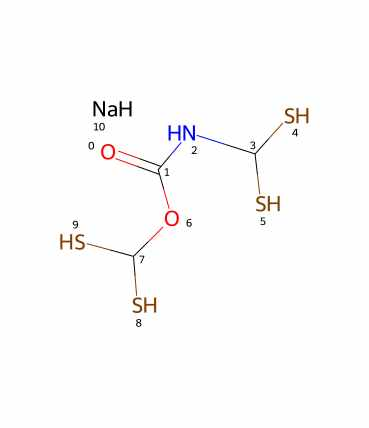 O=C(NC(S)S)OC(S)S.[NaH]